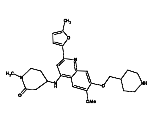 COc1cc2c(NC3CCN(C)C(=O)C3)cc(-c3ccc(C)o3)nc2cc1OCC1CCNCC1